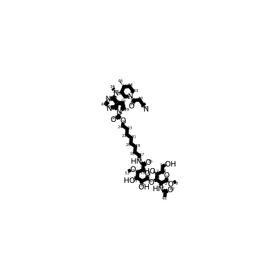 CO[C@@H]1OC(CO)[C@@H](O)C(O[C@@H]2OC(C(=O)NCCCCCCCCOC(=O)n3ccc4c(N(C)[C@H]5CN(C(=O)CC#N)CC[C@H]5C)ncnc43)[C@@H](OC)C(O)C2O)C1NC(C)=O